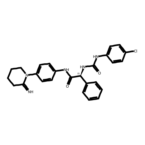 N=C1CCCCN1c1ccc(NC(=O)[C@@H](NC(=O)Nc2ccc(Cl)cc2)c2ccccc2)cc1